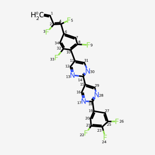 C=C/C(F)=C(\F)c1cc(F)c(-c2cnc(-c3cnc(-c4cc(F)c(F)c(F)c4)nc3)nc2)c(F)c1